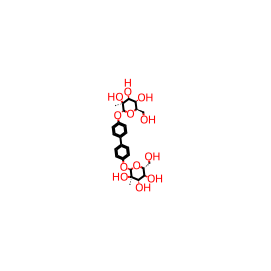 C[C@]1(O)[C@@H](Oc2ccc(-c3ccc(O[C@H]4O[C@H](CO)[C@@H](O)[C@H](O)[C@]4(C)O)cc3)cc2)O[C@H](CO)[C@@H](O)[C@@H]1O